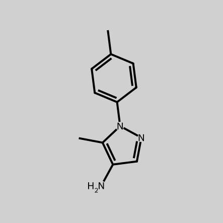 Cc1ccc(-n2ncc(N)c2C)cc1